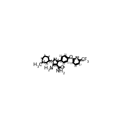 CN1CCCC(n2nc(-c3ccc(Oc4cccc(C(F)(F)F)n4)cc3)c(C(N)=O)c2N)C1